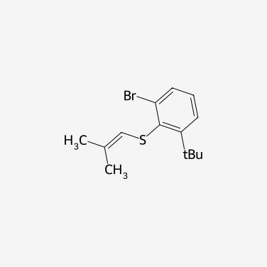 CC(C)=CSc1c(Br)cccc1C(C)(C)C